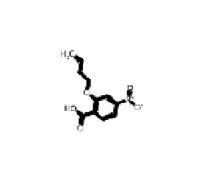 C=CCCOc1cc([N+](=O)[O-])ccc1C(=O)O